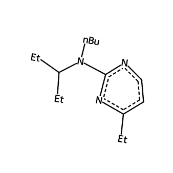 CCCCN(c1nccc(CC)n1)C(CC)CC